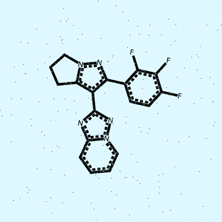 Fc1ccc(-c2nn3c(c2-c2nc4ccccn4n2)CCC3)c(F)c1F